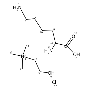 C[N+](C)(C)CCO.NCCCCC(N)C(=O)O.[Cl-]